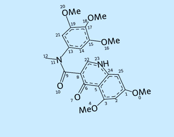 COc1cc(OC)c2c(=O)c(C(=O)N(C)c3cc(OC)c(OC)c(OC)c3)c[nH]c2c1